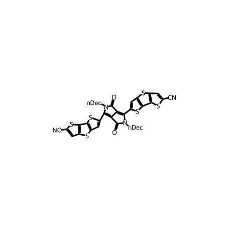 CCCCCCCCCCN1C(=O)C2=C(c3cc4sc5cc(C#N)sc5c4s3)N(CCCCCCCCCC)C(=O)C2=C1c1cc2sc3cc(C#N)sc3c2s1